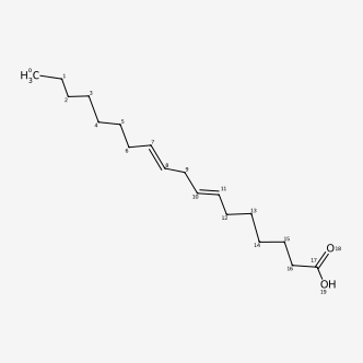 CCCCCCC/C=C/C/C=C/CCCCCC(=O)O